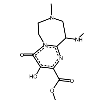 CNC1CN(C)CCn2c1nc(C(=O)OC)c(O)c2=O